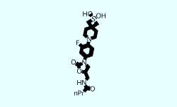 CCCC(=O)NCC1CN(c2ccc(N3CCC4(CC3)CS(O)(O)C4)c(F)c2)C(=O)O1